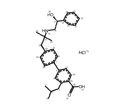 CC(C)Cc1cc(-c2ccc(CC(C)(C)NC[C@@H](O)c3ccccc3)cc2)ccc1C(=O)O.Cl